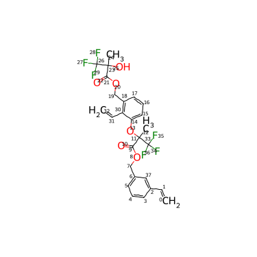 C=Cc1cccc(COC(=O)C(C)(Oc2cccc(COC(=O)C(C)(O)C(F)(F)F)c2C=C)C(F)(F)F)c1